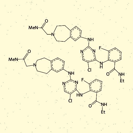 CCNC(=O)c1cccc(F)c1Nc1nc(Nc2ccc3c(c2)CCN(CC(=O)NC)CC3)ncc1Cl.CCNC(=O)c1cccc(F)c1Nc1nc(Nc2ccc3c(c2)CCN(CC(=O)NC)CC3)ncc1Cl